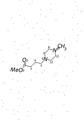 [CH]OC(=O)CCCN1CCN(C)CC1